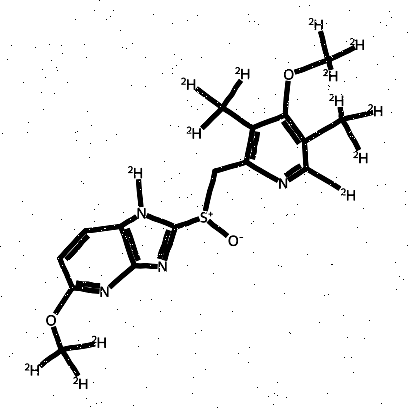 [2H]c1nc(C[S+]([O-])c2nc3nc(OC([2H])([2H])[2H])ccc3n2[2H])c(C([2H])([2H])[2H])c(OC([2H])([2H])[2H])c1C([2H])([2H])[2H]